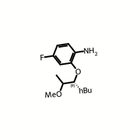 CCCC[C@@H](Oc1cc(F)ccc1N)C(C)OC